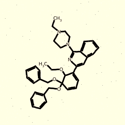 CCOC1C(c2cc3ccccc3c(N3CCN(CC)CC3)n2)=CC=CC1(OCc1ccccc1)OCc1ccccc1